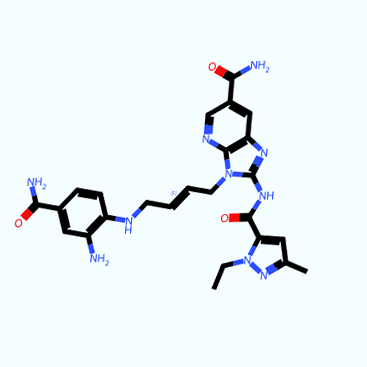 CCn1nc(C)cc1C(=O)Nc1nc2cc(C(N)=O)cnc2n1C/C=C/CNc1ccc(C(N)=O)cc1N